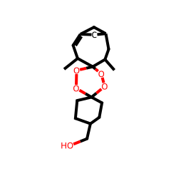 CC1C=C2CC(C2)CC(C)C12OOC1(CCC(CO)CC1)OO2